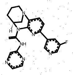 C=C(Nc1cnccn1)N1c2nc(-c3cncc(F)c3)ccc2N2CCC[C@H]1C2